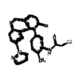 Cc1ccc(-n2c(=O)ccc3cnc4ccc(-n5cccn5)cc4c32)cc1NC(=O)CCl